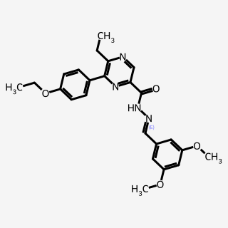 CCOc1ccc(-c2nc(C(=O)N/N=C/c3cc(OC)cc(OC)c3)cnc2CC)cc1